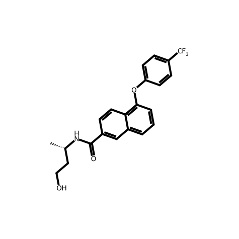 C[C@@H](CCO)NC(=O)c1ccc2c(Oc3ccc(C(F)(F)F)cc3)cccc2c1